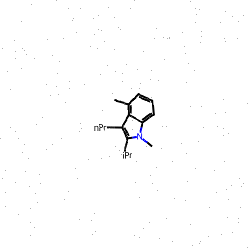 CCCc1c(C(C)C)n(C)c2cccc(C)c12